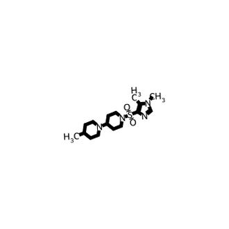 Cc1c(S(=O)(=O)N2CCC(N3CCC(C)CC3)CC2)ncn1C